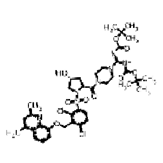 Cc1cc(C)c2cccc(OCc3c(Cl)ccc(S(=O)(=O)N4C[C@H](O)C[C@H]4C(=O)N4CCN(C(=NC(=O)OC(C)(C)C)NC(=O)OC(C)(C)C)CC4)c3Cl)c2n1